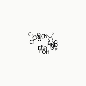 O=C(NS(=O)(=O)C1CC1)c1cc(C2CC2)c(CN2CCC(S(=O)(=O)c3cc(Cl)cc(Cl)c3)CC2)cc1F.O=C(O)C(F)(F)F